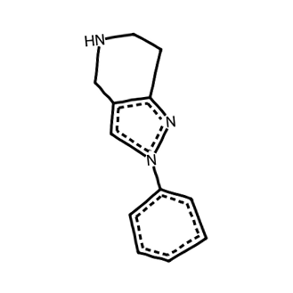 c1ccc(-n2cc3c(n2)CCNC3)cc1